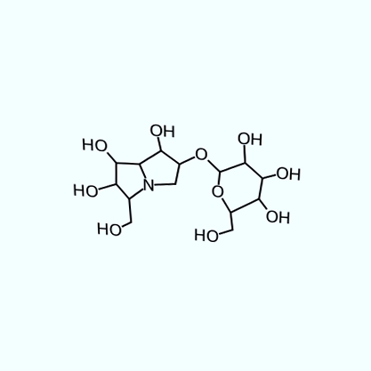 OCC1OC(OC2CN3C(CO)C(O)C(O)C3C2O)C(O)C(O)C1O